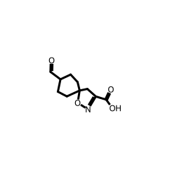 O=CC1CCC2(CC1)CC(C(=O)O)=NO2